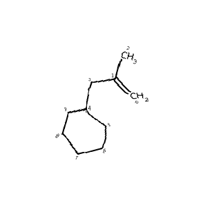 C=C(C)C[C]1CCCCC1